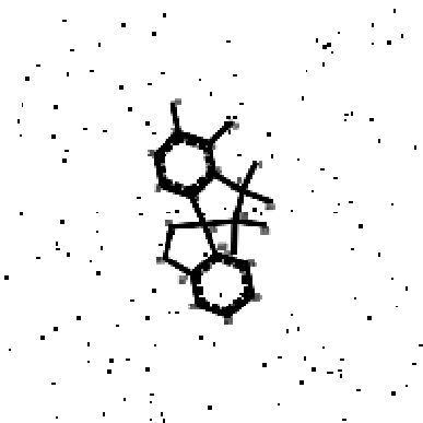 Cc1ccc2c(c1C)C(C)(C)C(C)(C)C21CCc2ccccc21